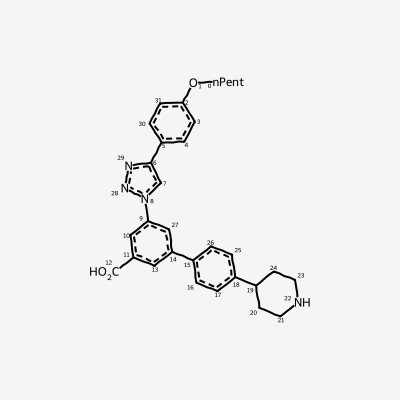 CCCCCOc1ccc(-c2cn(-c3cc(C(=O)O)cc(-c4ccc(C5CCNCC5)cc4)c3)nn2)cc1